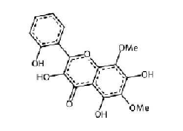 COc1c(O)c(OC)c2oc(-c3ccccc3O)c(O)c(=O)c2c1O